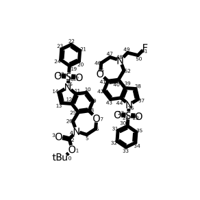 CC(C)(C)OC(=O)N1CCOc2ccc3c(ccn3S(=O)(=O)c3ccccc3)c2C1.O=S(=O)(c1ccccc1)n1ccc2c3c(ccc21)OCCN(CCF)C3